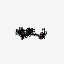 NC(=O)CC[C@H](NC(=O)[C@@H]1Cc2cccc3c2N1C(=O)[C@@H](NC(=O)c1cc2cc(C(F)(F)P(=O)(O)O)cc(C(=O)NCCCCCCCCC#Cc4cccc5c4CN(C4CCC(=O)NC4=O)C5=O)c2s1)CC3)C(=O)NC(c1ccccc1)c1ccccc1